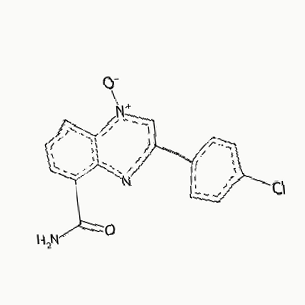 NC(=O)c1cccc2c1nc(-c1ccc(Cl)cc1)c[n+]2[O-]